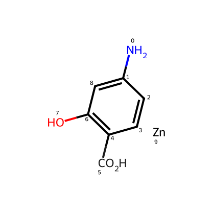 Nc1ccc(C(=O)O)c(O)c1.[Zn]